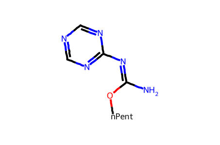 CCCCCOC(N)=Nc1ncncn1